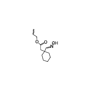 C=CCOC(=O)CC1(C=NO)CCCCC1